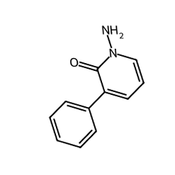 Nn1cccc(-c2ccccc2)c1=O